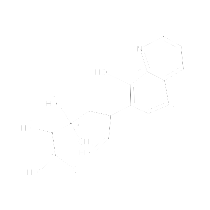 C=CC(CC(C)(C)C(C)C(C)C)c1ccc2cccnc2c1O